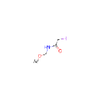 CC(=O)OCNC(=O)CI